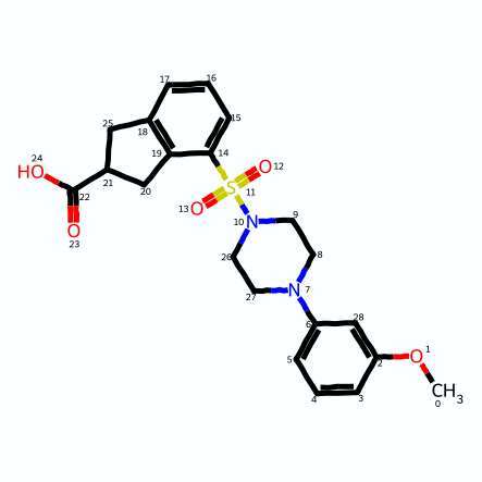 COc1cccc(N2CCN(S(=O)(=O)c3cccc4c3CC(C(=O)O)C4)CC2)c1